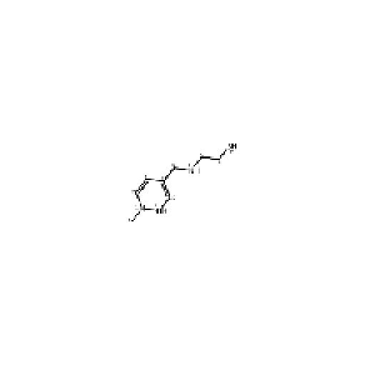 CN1C=CC(CNCCS)=CN1